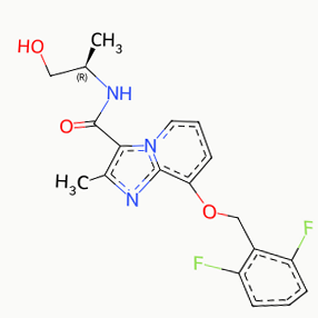 Cc1nc2c(OCc3c(F)cccc3F)cccn2c1C(=O)N[C@H](C)CO